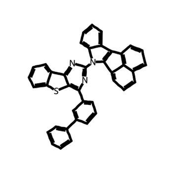 c1ccc(-c2cccc(-c3nc(-n4c5c(c6ccccc64)-c4cccc6cccc-5c46)nc4c3sc3ccccc34)c2)cc1